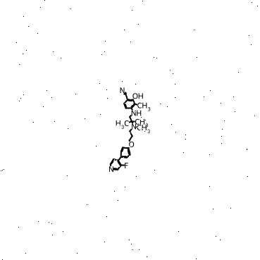 Cc1c(NCC(C)(C)N(C)CCCOc2ccc(-c3ccncc3F)cc2)ccc(C#N)c1O